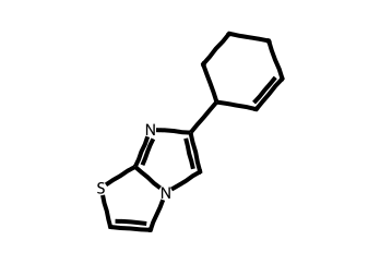 C1=CC(c2cn3ccsc3n2)CCC1